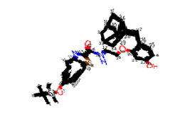 CC(C)(C)[Si](C)(C)Oc1ccc2nc(C(=O)NCCOc3cc(O)ccc3C=C3C4CC5CC(C4)CC3C5)sc2c1